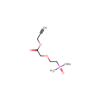 C#CCOC(=O)COCCP(C)(=O)OC